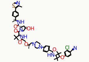 Cc1ncsc1-c1ccc([C@H](C)NC(=O)[C@@H]2C[C@@H](O)CN2C(=O)[C@@H](NC(=O)CO[C@H](C)CN2CCN(c3ccc(C(=O)N[C@H]4C(C)(C)[C@H](Oc5ccc(C#N)c(Cl)c5)C4(C)C)cc3)CC2)C(C)(C)C)cc1